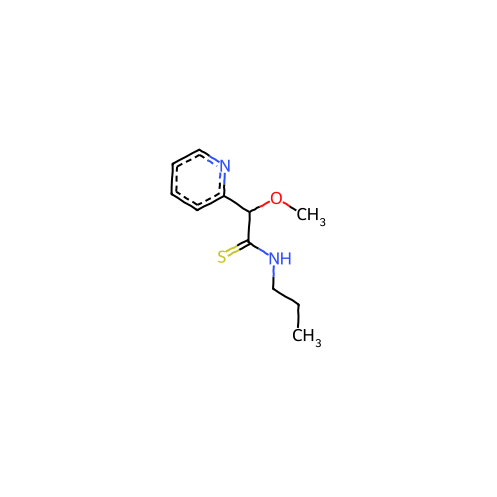 CCCNC(=S)C(OC)c1ccccn1